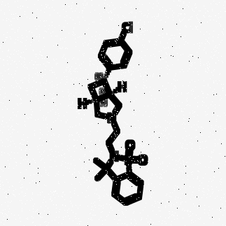 CC1(C)c2ccccc2S(=O)(=O)N1CCN1C[C@H]2C[C@H](c3ccc(Cl)cc3)[C@H]2C1